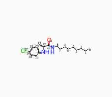 CCCCCCCCCNC(=O)c1cc2cc(Cl)ccc2[nH]1